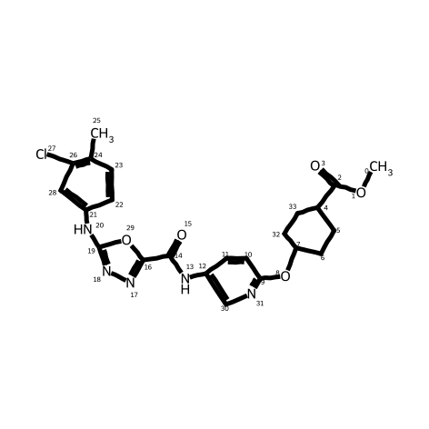 COC(=O)C1CCC(Oc2ccc(NC(=O)c3nnc(Nc4ccc(C)c(Cl)c4)o3)cn2)CC1